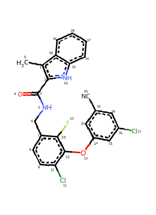 Cc1c(C(=O)NCc2ccc(Cl)c(Oc3cc(Cl)cc(C#N)c3)c2F)[nH]c2ccccc12